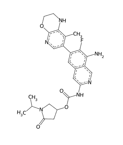 Cc1c(-c2cc3cc(NC(=O)OC4CC(=O)N(C(C)C)C4)ncc3c(N)c2F)cnc2c1NCCO2